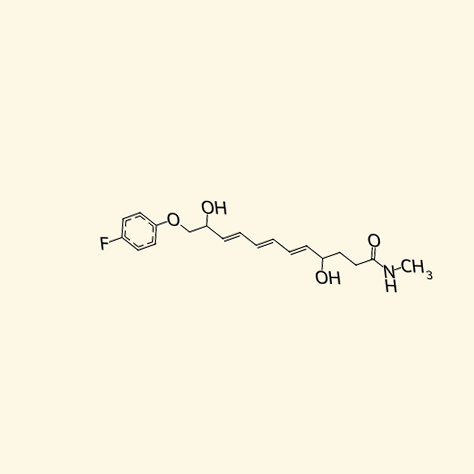 CNC(=O)CCC(O)C=CC=CC=CC(O)COc1ccc(F)cc1